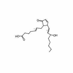 CCCCCC(O)/C=C/C1C=CC(=O)C1C/C=C/CCCC(=O)O